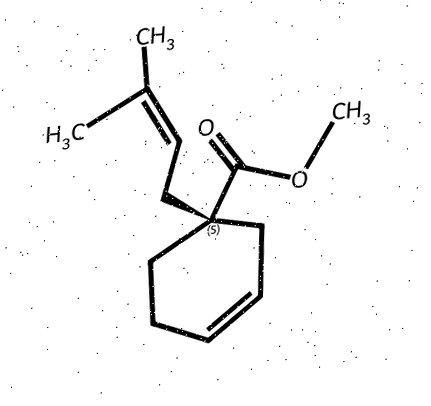 COC(=O)[C@]1(CC=C(C)C)CC=CCC1